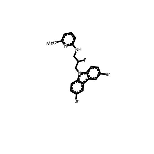 COc1cccc(NCC(F)Cn2c3ccc(Br)cc3c3cc(Br)ccc32)n1